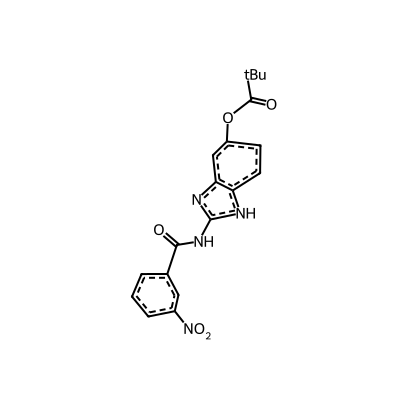 CC(C)(C)C(=O)Oc1ccc2[nH]c(NC(=O)c3cccc([N+](=O)[O-])c3)nc2c1